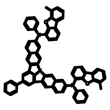 Cc1cccc2c1oc1c(N(c3ccccc3)c3ccc4cc5c6cc(-c7ccccc7)cc7c8cc9ccc(N(c%10ccccc%10)c%10cccc%11c%10oc%10c(C)cccc%10%11)cc9cc8n(c5cc4c3)c67)cccc12